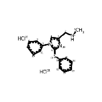 CNCc1cn(-c2ccccc2)c(Sc2ccccc2)n1.Cl.Cl